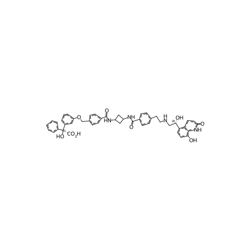 O=C(NC1CC(NC(=O)c2ccc(COc3cccc([C@](O)(C(=O)O)c4ccccc4)c3)cc2)C1)c1ccc(CCNC[C@H](O)c2ccc(O)c3[nH]c(=O)ccc23)cc1